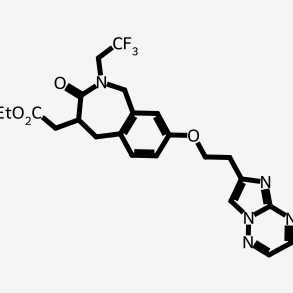 CCOC(=O)CC1Cc2ccc(OCCc3cn4nccnc4n3)cc2CN(CC(F)(F)F)C1=O